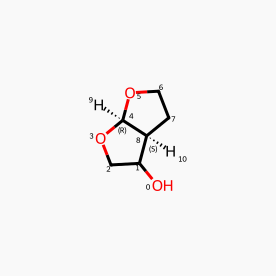 OC1CO[C@H]2OCC[C@@H]12